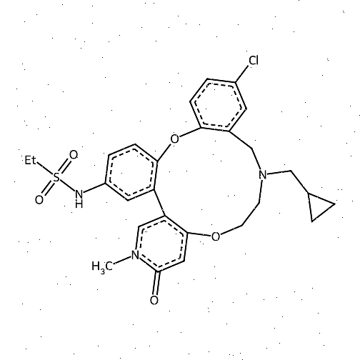 CCS(=O)(=O)Nc1ccc2c(c1)-c1cn(C)c(=O)cc1OCCN(CC1CC1)Cc1cc(Cl)ccc1O2